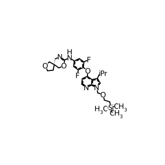 CC(C)c1cn(COCC[Si](C)(C)C)c2nccc(Oc3c(F)cc(NC4=NC[C@@]5(CCOC5)CO4)cc3F)c12